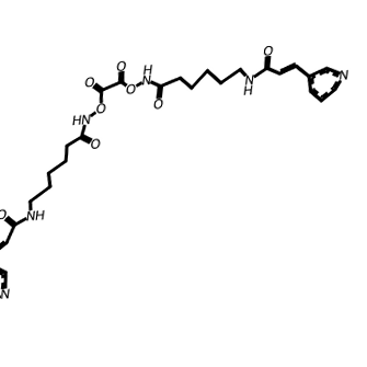 O=C(/C=C/c1cccnc1)NCCCCCC(=O)NOC(=O)C(=O)ONC(=O)CCCCCNC(=O)/C=C/c1cccnc1